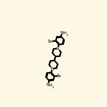 Nc1ccc(N2CCC(C3CCN(c4ccc(N)cc4Br)CC3)CC2)c(Br)c1